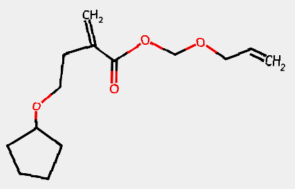 C=CCOCOC(=O)C(=C)CCOC1CCCC1